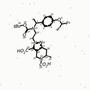 CC(c1ccc(OC(F)F)cc1)N(CCn1nc2c(c1C(=O)O)CN(C(=O)O)[C@H](C)C2)C(=O)OC(C)(C)C